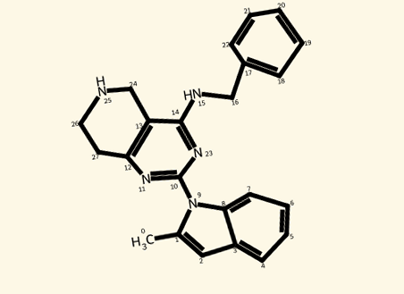 Cc1cc2ccccc2n1-c1nc2c(c(NCc3ccccc3)n1)CNCC2